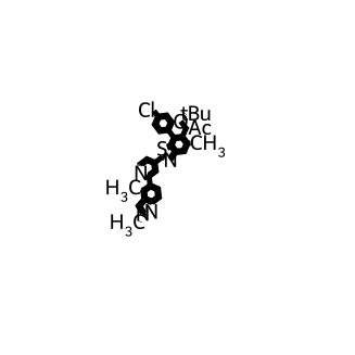 CC(=O)[C@@H](OC(C)(C)C)c1c(C)cc2nc(-c3ccnc(-c4ccc5nn(C)cc5c4C)c3)sc2c1-c1ccc(Cl)cc1